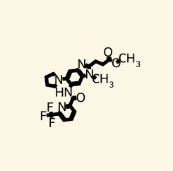 COC(=O)CCc1nc2cc(N3CCCC3)c(NC(=O)c3cccc(C(F)(F)F)n3)cc2n1C